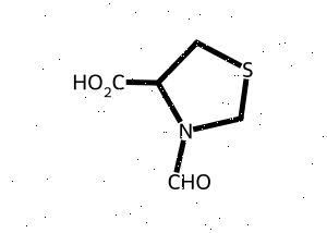 O=CN1CSCC1C(=O)O